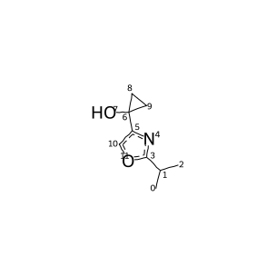 CC(C)c1nc(C2(O)CC2)co1